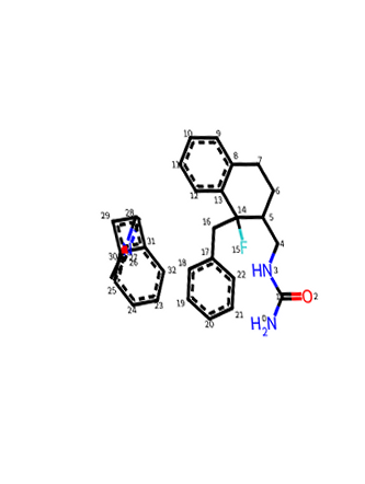 NC(=O)NCC1CCc2ccccc2C1(F)Cc1ccccc1.c1cc2cnc3cc2c3c1